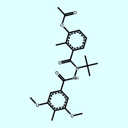 COc1cc(C(=O)NN(C(=O)c2cccc(OC(C)=O)c2C)C(C)(C)C)cc(OC)c1C